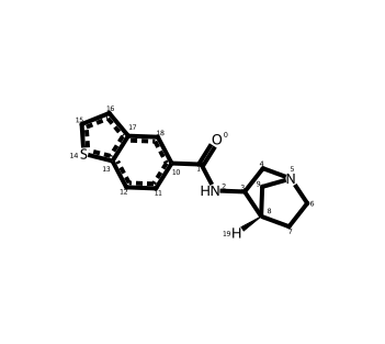 O=C(NC1CN2CC[C@H]1C2)c1ccc2sccc2c1